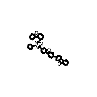 c1ccc(-c2nc(-c3ccc4c(c3)oc3cc(-c5ccc6c(c5)oc5ccccc56)ccc34)nc(-c3cccc4oc5ccccc5c34)n2)cc1